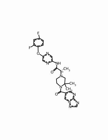 C[C@@H](C(=O)Nc1cnc(Oc2ccc(F)cc2F)cn1)N1CCN(C(=O)c2cnc3ncnn3c2)C(C)(C)C1